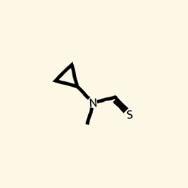 CN(C=S)C1CC1